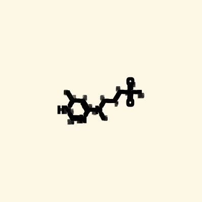 CC1C=C(N(C)CCCS(C)(=O)=O)N=CN1